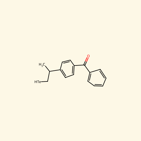 CC(C[TeH])c1ccc(C(=O)c2ccccc2)cc1